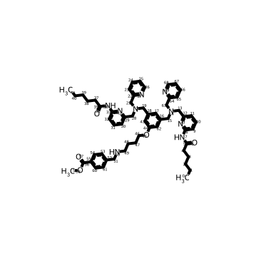 CCCCCC(=O)Nc1cccc(CN(Cc2cc(CN(Cc3ccccn3)Cc3cccc(NC(=O)CCCCC)n3)cc(OCCCCNCc3ccc(C(=O)OC)cc3)c2)Cc2ccccn2)n1